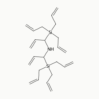 C=CC[Si](CC=C)(CC=C)C(C=C)NC(C=C)[Si](CC=C)(CC=C)CC=C